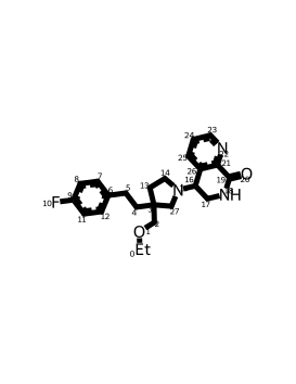 CCOCC1(CCc2ccc(F)cc2)CCN(C2CNC(=O)c3ncccc32)C1